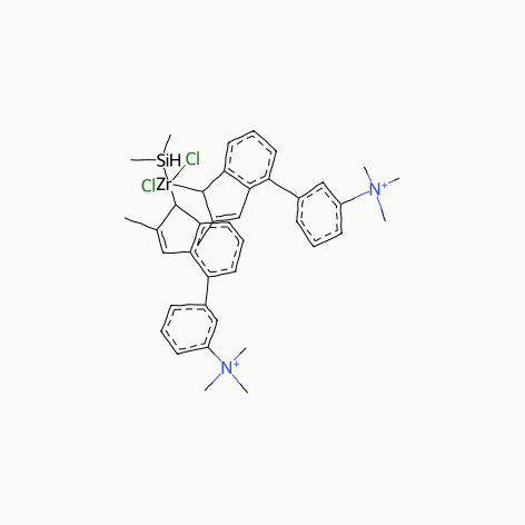 CC1=Cc2c(-c3cccc([N+](C)(C)C)c3)cccc2[CH]1[Zr]([Cl])([Cl])([CH]1C(C)=Cc2c(-c3cccc([N+](C)(C)C)c3)cccc21)[SiH](C)C